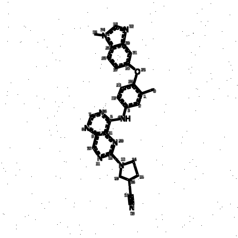 Cc1cc(Nc2ncnc3cnc(N4CCC(C#N)C4)nc23)ccc1Oc1ccc2c(c1)ncn2C